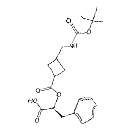 CC(C)(C)OC(=O)NCC1CC(C(=O)O[C@@H](Cc2ccccc2)C(=O)O)C1